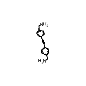 NCc1ccc(C#Cc2ccc(CN)cc2)cc1